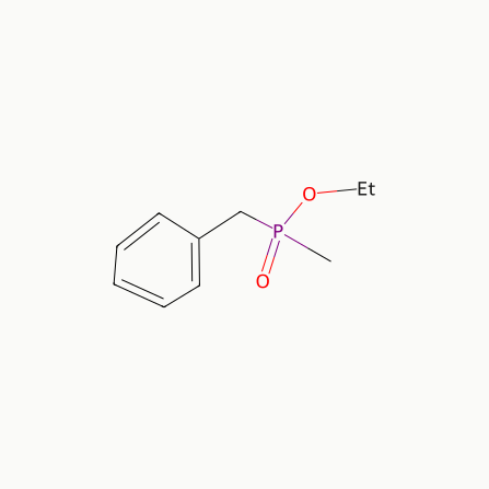 CCOP(C)(=O)Cc1ccccc1